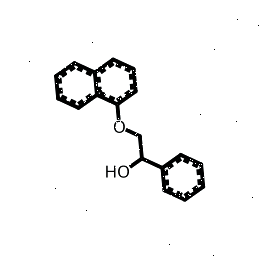 OC(COc1cccc2ccccc12)c1ccccc1